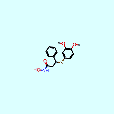 COc1ccc(SC(CC(=O)NO)c2ccccc2)cc1OC